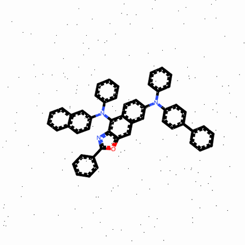 c1ccc(-c2ccc(N(c3ccccc3)c3ccc4c(N(c5ccccc5)c5ccc6ccccc6c5)c5nc(-c6ccccc6)oc5cc4c3)cc2)cc1